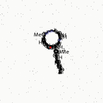 CO[C@H]1C[C@@H]2CC[C@@H](C)[C@@](O)(O2)C(=O)C(=O)N2CCCC[C@H]2C(=O)O[C@H]([C@H](N)C[C@@H]2CC[C@@H](OC(=O)NCc3cnc(N4CCN(C(=O)CN(C)C)CC4)nc3)[C@H](OC)C2)CC(=O)[C@H](C)/C=C(\C)[C@@H](O)[C@@H](O)C(=O)[C@H](C)C[C@H](C)/C=C/C=C/C=C/1C